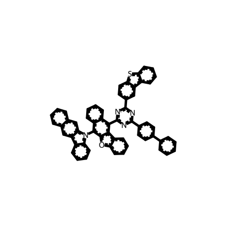 c1ccc(-c2ccc(-c3nc(-c4ccc5sc6ccccc6c5c4)nc(-c4c5ccccc5c(-n5c6ccccc6c6cc7ccccc7cc65)c5oc6ccccc6c45)n3)cc2)cc1